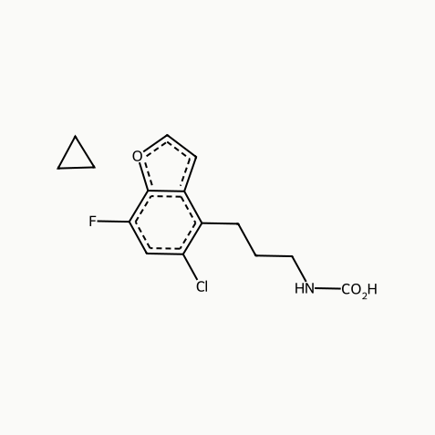 C1CC1.O=C(O)NCCCc1c(Cl)cc(F)c2occc12